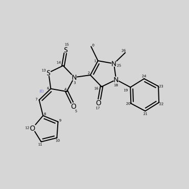 Cc1c(N2C(=O)/C(=C\c3ccco3)SC2=S)c(=O)n(-c2ccccc2)n1C